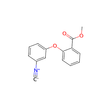 [C-]#[N+]c1cccc(Oc2ccccc2C(=O)OC)c1